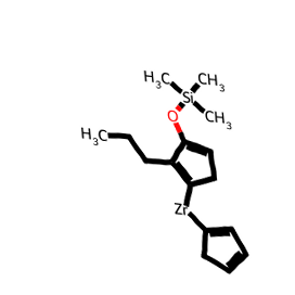 CCCC1=[C]([Zr][C]2=CC=CC2)CC=C1O[Si](C)(C)C